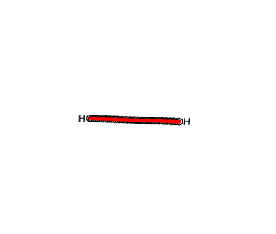 OCCOCCOCCOCCOCCOCCOCCOCCOCCOCCOCCOCCOCCOCCOCCOCCOCCOCCOCCOCCOCCOCCOCCOCCOCCOCCOCCOCCOCCOCCOCCOCCOCCOCCOCCOCCOCCOCCOCCOCCOCCOCCOCCOCCOCCO